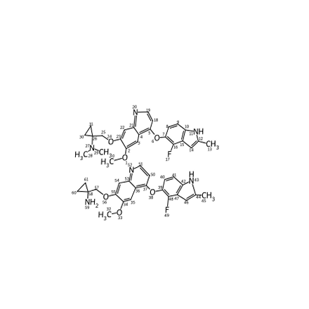 COc1cc2c(Oc3ccc4[nH]c(C)cc4c3F)ccnc2cc1OCC1(N(C)C)CC1.COc1cc2c(Oc3ccc4[nH]c(C)cc4c3F)ccnc2cc1OCC1(N)CC1